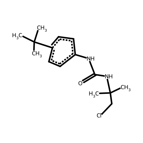 CC(C)(CCl)NC(=O)Nc1ccc(C(C)(C)C)cc1